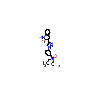 CCN(CC)C(=O)c1cccc(-n2cc(-c3cc4ccccc4[nH]c3=O)nn2)c1